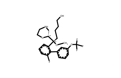 CO[C@](CCCCO)(c1cccc(F)c1-c1cccc(OC(F)(F)F)c1)[C@H]1CNCCO1